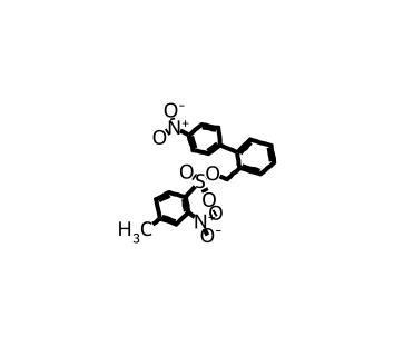 Cc1ccc(S(=O)(=O)OCc2ccccc2-c2ccc([N+](=O)[O-])cc2)c([N+](=O)[O-])c1